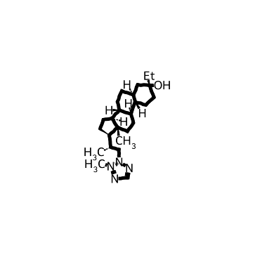 CC[C@@]1(O)CC[C@H]2[C@@H](CC[C@@H]3[C@@H]2CC[C@]2(C)[C@@H]([C@@H](C)Cn4ncn[n+]4C)CC[C@@H]32)C1